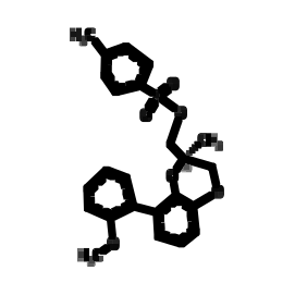 COc1ccccc1-c1cccc2c1O[C@@](C)(COS(=O)(=O)c1ccc(C)cc1)CO2